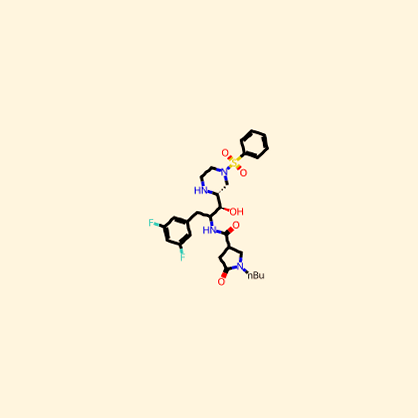 CCCCN1CC(C(=O)NC(Cc2cc(F)cc(F)c2)[C@H](O)[C@H]2CN(S(=O)(=O)c3ccccc3)CCN2)CC1=O